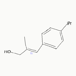 C/C(=C\c1ccc(C(C)C)cc1)CO